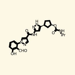 CC(C)NC(=O)O[C@@H]1CC[C@H](c2cc(NC(=O)c3cnn(-c4cccc(O)c4C=O)c3)n[nH]2)C1